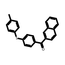 Cc1ccc(Sc2ccc(C(=O)c3ccc4ccccc4c3)cc2)cc1